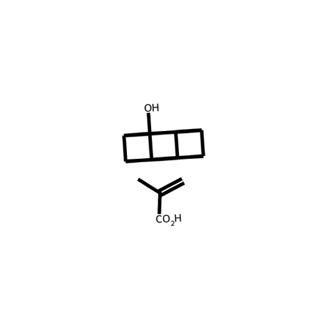 C=C(C)C(=O)O.OC12C3C4C5C3C1C5C42